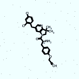 C#CCOc1ccc(C[C@H](N)C(=O)N2CC(C)(C)c3ncc(Cc4ccc(Cl)cc4Cl)cc32)cc1